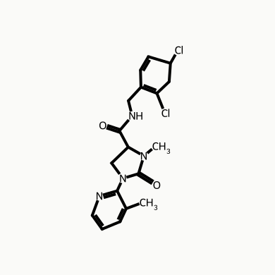 Cc1cccnc1N1CC(C(=O)NCC2=C(Cl)CC(Cl)C=C2)N(C)C1=O